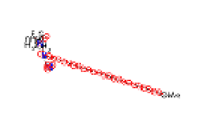 CCCC1=CC(C)(C)N(CCCCCC(=O)N(CCCCCC(=O)ON2C(=O)CCC2=O)CCOCCOCCOCCOCCOCCOCCOCCOCCOCCOCCOCCOCCOCCOCCOCCOCCOCCOCCOCCOCCOCCOCCOCCOC)c2cc3oc(=O)cc(C(F)(F)F)c3cc21